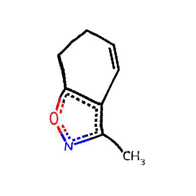 Cc1noc2c1C=CCC2